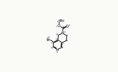 CC(C)(C)OC(=O)N1CCc2cncc(Br)c2C1